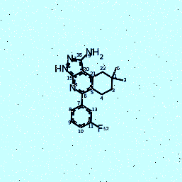 CC1(C)CCc2c(-c3cccc(F)c3)nc3[nH]nc(N)c3c2C1